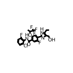 CCc1[nH]c(-c2cc(OC(C)C(F)(F)F)c(C(=O)Nc3c(F)cccc3Cl)cc2F)nc1CO